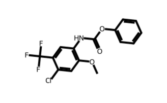 COc1cc(Cl)c(C(F)(F)F)cc1NC(=O)Oc1ccccc1